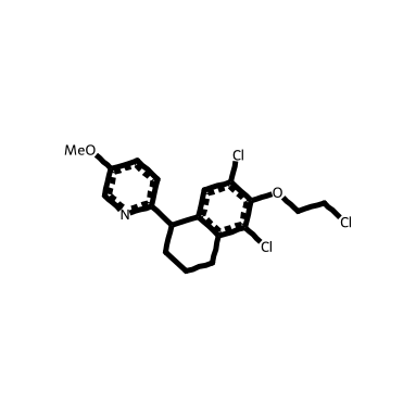 COc1ccc(C2CCCc3c2cc(Cl)c(OCCCl)c3Cl)nc1